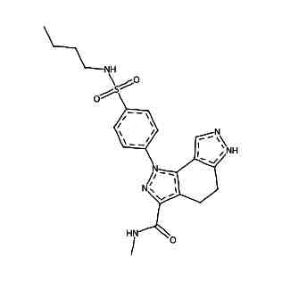 CCCCNS(=O)(=O)c1ccc(-n2nc(C(=O)NC)c3c2-c2cn[nH]c2CC3)cc1